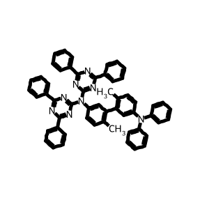 Cc1ccc(N(c2ccccc2)c2ccccc2)cc1-c1cc(N(c2nc(-c3ccccc3)nc(-c3ccccc3)n2)c2nc(-c3ccccc3)nc(-c3ccccc3)n2)ccc1C